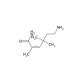 CC(=CC(C)(C)CCN)C(N)=O